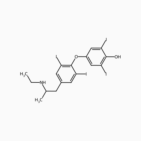 CCNC(C)Cc1cc(I)c(Oc2cc(I)c(O)c(I)c2)c(I)c1